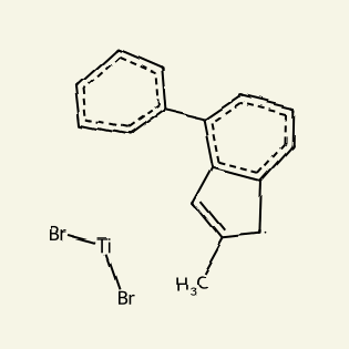 CC1=Cc2c(cccc2-c2ccccc2)[CH]1.[Br][Ti][Br]